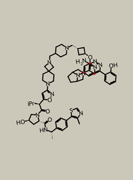 Cc1ncsc1-c1ccc([C@H](C)NC(=O)[C@@H]2C[C@@H](O)CN2C(=O)[C@H](c2cc(N3CCC4(CC3)CN(CC3CCN(C[C@H]5C[C@H](Oc6cc(N7C8CCC7CN(c7cc(-c9ccccc9O)nnc7N)C8)ccn6)C5)CC3)C4)no2)C(C)C)cc1